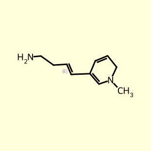 CN1C=C(/C=C/CCN)C=CC1